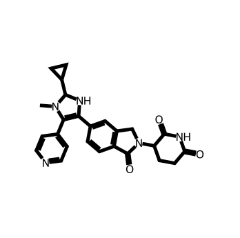 CN1C(c2ccncc2)=C(c2ccc3c(c2)CN(C2CCC(=O)NC2=O)C3=O)NC1C1CC1